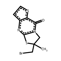 CC1(CBr)Cn2c(nc3ccsc3c2=O)S1